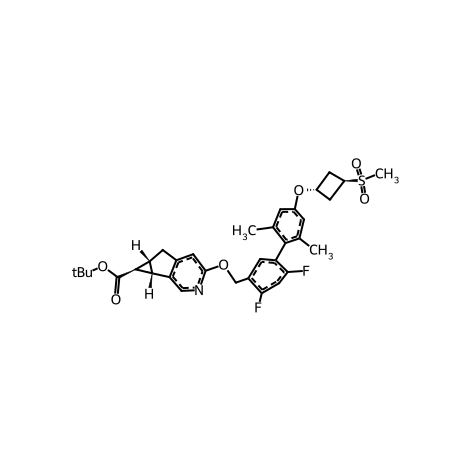 Cc1cc(O[C@H]2C[C@H](S(C)(=O)=O)C2)cc(C)c1-c1cc(COc2cc3c(cn2)[C@H]2[C@@H](C3)[C@@H]2C(=O)OC(C)(C)C)c(F)cc1F